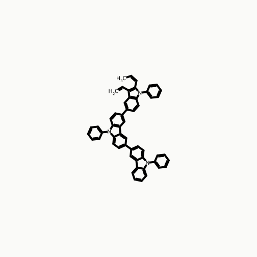 C=Cc1c(/C=C\C)n(-c2ccccc2)c2ccc(-c3ccc4c(c3)c3cc(-c5ccc6c(c5)c5ccccc5n6-c5ccccc5)ccc3n4-c3ccccc3)cc12